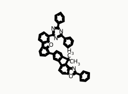 CC1(C)c2ccc(-c3cccc4c3oc3c(-c5nc(-c6ccccc6)nc(-c6ccccc6)n5)cccc34)cc2-c2ccc3oc(-c4ccccc4)nc3c21